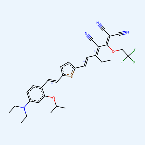 CCC(/C=C/c1ccc(/C=C/c2ccc(N(CC)CC)cc2OC(C)C)s1)=C(/C#N)C(OCC(F)(F)F)=C(C#N)C#N